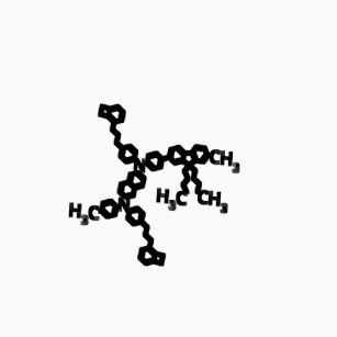 CCCCCC1(CCCCC)c2cc(C)ccc2-c2ccc(-c3ccc(N(c4ccc(CCCc5cccc6c5CC6)cc4)c4ccc5cc(N(c6ccc(C)cc6)c6ccc(CCCc7cccc8c7CC8)cc6)ccc5c4)cc3)cc21